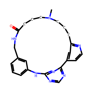 CN1CCCC(=O)NCc2cccc(c2)Nc2ncnc(n2)-c2ccnc(c2)CCC1